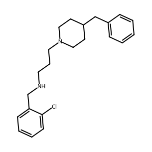 Clc1ccccc1CNCCCN1CCC(Cc2ccccc2)CC1